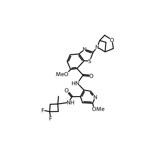 COc1cc(C(=O)NC2(C)CC(F)(F)C2)c(NC(=O)c2c(OC)ccc3nc(N4C5COCC4C5)sc23)cn1